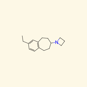 CCc1ccc2c(c1)CCC(N1CCC1)CC2